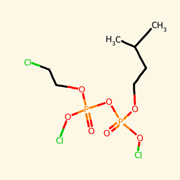 CC(C)CCOP(=O)(OCl)OP(=O)(OCl)OCCCl